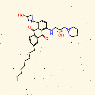 CCCCCCCCCc1ccc2c(c1)C(=O)c1c(NC[C@H](O)CN3CCCCC3)ccc(N3CC(O)C3)c1C2=O